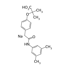 Cc1cc(C)cc(NC(=O)Cc2ccc(OC(C)(C)C(=O)O)cc2)c1.[Na]